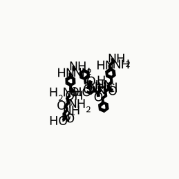 Cl.N=C(N)Nc1ccc(C(N)=O)cc1.N=C(N)Nc1ccc(CNC(=O)C(CCc2ccccc2)NC(=O)C(CO)NS(=O)(=O)Cc2ccccc2)cc1.N[C@@H](CO)C(=O)NC[N+](=O)O